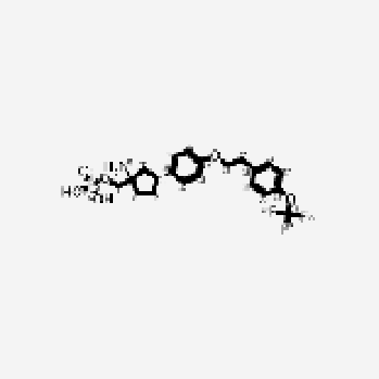 N[C@]1(COP(=O)(O)O)CC[C@@H](c2ccc(OCCc3ccc(OC(F)(F)F)cc3)cc2)C1